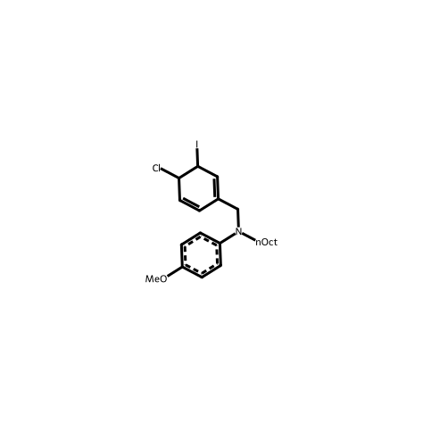 CCCCCCCCN(CC1=CC(I)C(Cl)C=C1)c1ccc(OC)cc1